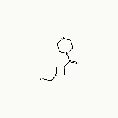 C[C](C)CN1CC(C(=O)N2CCOCC2)C1